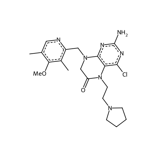 COc1c(C)cnc(CN2CC(=O)N(CCN3CCCC3)c3c(Cl)nc(N)nc32)c1C